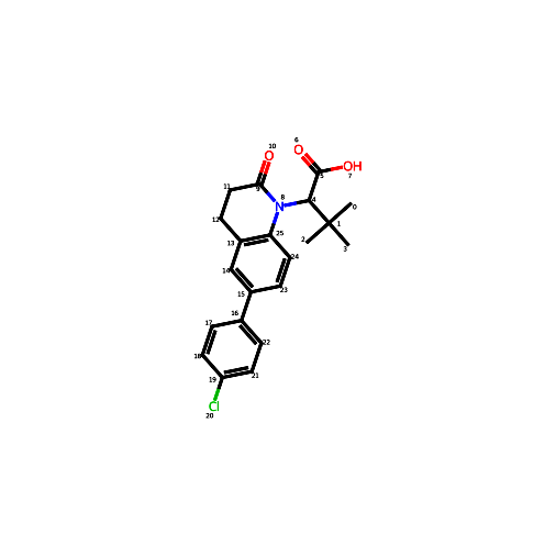 CC(C)(C)C(C(=O)O)N1C(=O)CCc2cc(-c3ccc(Cl)cc3)ccc21